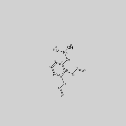 C=CCc1cccc(OP(O)O)c1CC=C